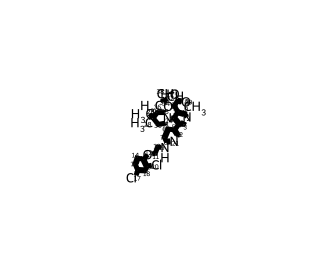 Cc1ncc(-c2ccc(NCCOc3ccc(Cl)cc3Cl)nc2)c(N2CCC(C)(C)CC2)c1[C@H](OC(C)(C)C)C(=O)O